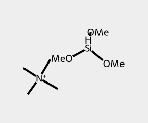 CO[SiH](OC)OC.C[N+](C)(C)C